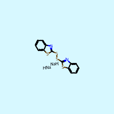 [NaH].[NaH].c1ccc2sc(SSc3nc4ccccc4s3)nc2c1